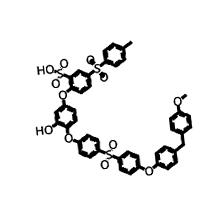 COc1ccc(Cc2ccc(Oc3ccc(S(=O)(=O)c4ccc(Oc5ccc(Oc6ccc(S(=O)(=O)c7ccc(C)cc7)cc6S(=O)(=O)O)cc5O)cc4)cc3)cc2)cc1